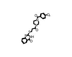 COc1ccc(C(=O)N2CCN(C(=O)CCSc3nc4ccccc4c(=O)[nH]3)CC2)cc1